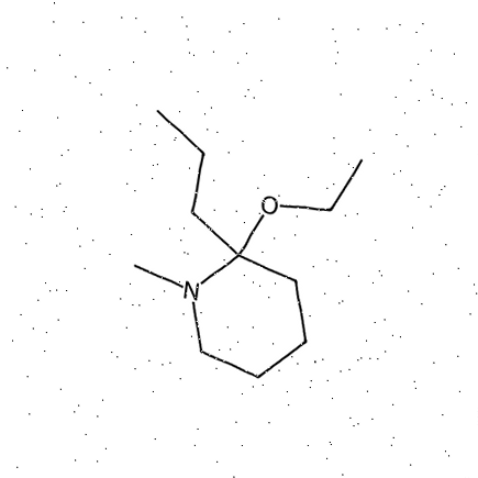 CCCC1(OCC)CCCCN1C